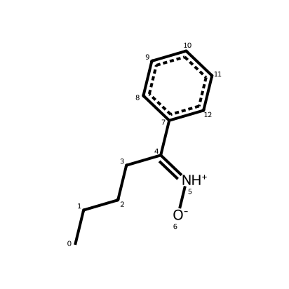 CCCCC(=[NH+][O-])c1ccccc1